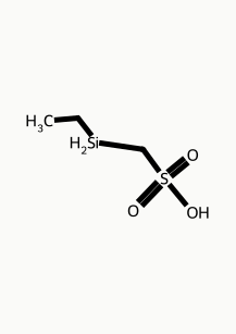 CC[SiH2]CS(=O)(=O)O